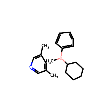 CB(c1ccccc1)C1CCCCC1.Cc1cncc(C)c1